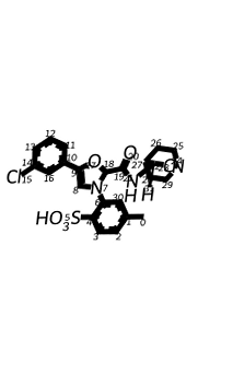 Cc1ccc(S(=O)(=O)O)c(N2C=C(c3cccc(Cl)c3)OC2C(=O)N[C@H]2CN3CCC2CC3)c1